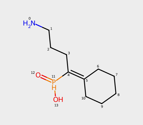 NCCCC(=C1CCCCC1)[PH](=O)O